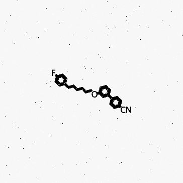 N#Cc1ccc(-c2cccc(OCCCCCCc3ccc(F)cc3)c2)cc1